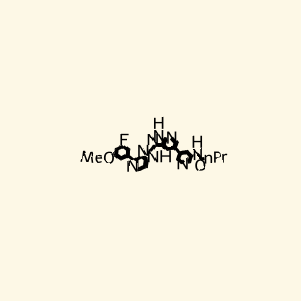 CCCC(=O)Nc1cncc(-c2cnc3[nH]nc(-c4nc5c(-c6cc(F)cc(OC)c6)nccc5[nH]4)c3c2)c1